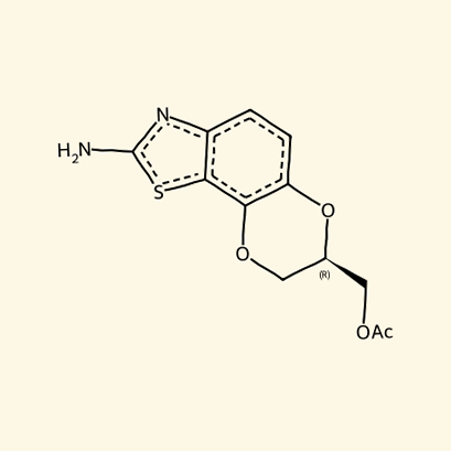 CC(=O)OC[C@H]1COc2c(ccc3nc(N)sc23)O1